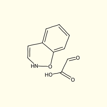 C1=Cc2ccccc2ON1.O=CC(=O)O